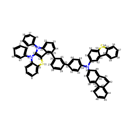 c1ccc(N2c3ccccc3Sc3c2n(-c2ccccc2)c2cccc(-c4cccc(-c5ccc(N(c6ccc7c(ccc8ccccc87)c6)c6ccc7sc8ccccc8c7c6)cc5)c4)c32)cc1